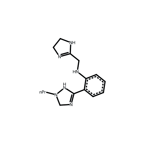 CCCN1CN=C(c2ccccc2NCC2=NCCN2)N1